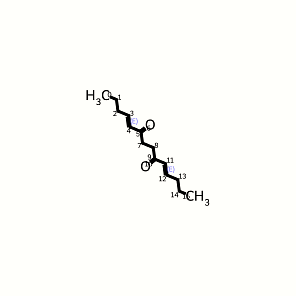 CCC/C=C/C(=O)CCC(=O)/C=C/CCC